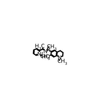 C/C(=N\N(C)c1cc2c(cc1O)N(C)CCC2)c1cccc[n+]1C